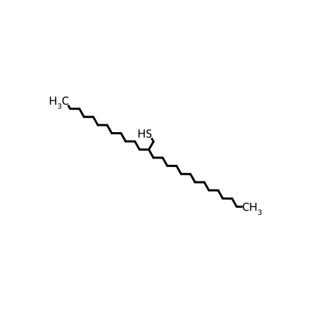 CCCCCCCCCCCCCCC(CS)CCCCCCCCCCCC